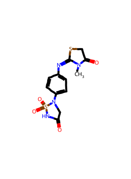 CN1C(=O)CSC1=Nc1ccc(N2CC(=O)NS2(=O)=O)cc1